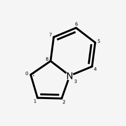 [C]1C=CN2C=CC=CC12